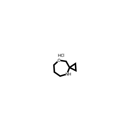 C1CNC2(CC2)COC1.Cl